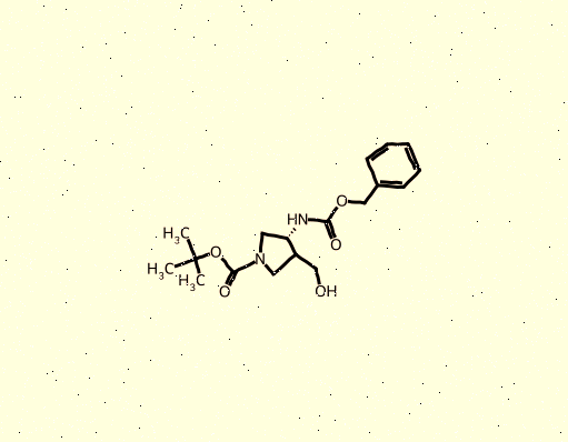 CC(C)(C)OC(=O)N1CC(CO)[C@@H](NC(=O)OCc2ccccc2)C1